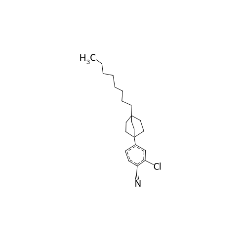 CCCCCCCCC12CCC(c3ccc(C#N)c(Cl)c3)(CC1)CC2